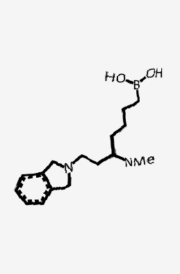 CNC(CCCCB(O)O)CCN1Cc2ccccc2C1